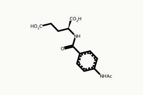 CC(=O)Nc1ccc(C(=O)N[C@@H](CCC(=O)O)C(=O)O)cc1